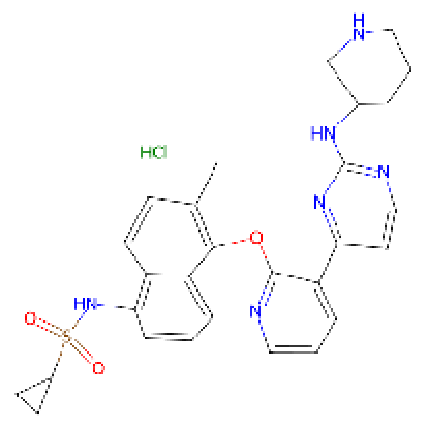 Cc1ccc2c(NS(=O)(=O)C3CC3)cccc2c1Oc1ncccc1-c1ccnc(NC2CCCNC2)n1.Cl